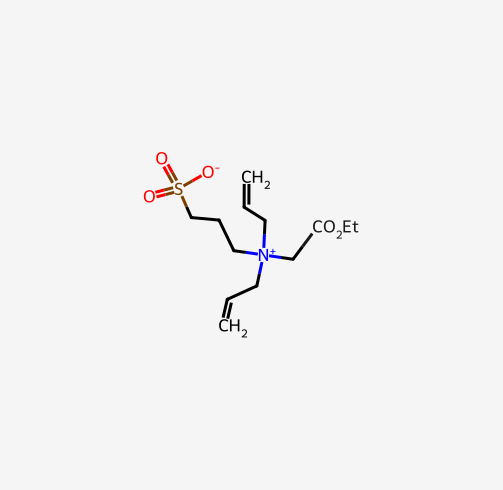 C=CC[N+](CC=C)(CCCS(=O)(=O)[O-])CC(=O)OCC